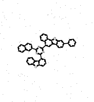 c1ccc(-c2ccc3c(c2)oc2c4ccccc4c(-c4nc(-c5ccc6ccccc6c5)nc(-c5cccc6oc7ccccc7c56)n4)cc32)cc1